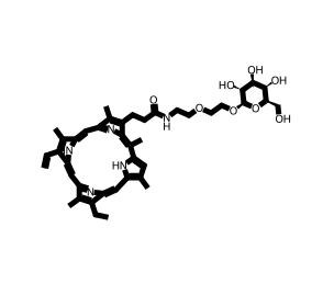 C=Cc1c(C)c2cc3nc(c(C)c4cc(C)c(cc5nc(cc1[nH]2)C(C)=C5CC)[nH]4)C(CCC(=O)NCCOCCO[C@@H]1O[C@H](CO)[C@@H](O)[C@H](O)[C@H]1O)=C3C